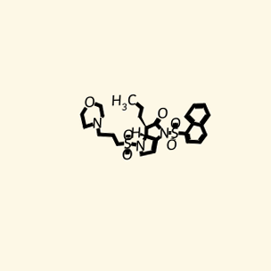 CCC[C@H]1C(=O)N(S(=O)(=O)c2cccc3ccccc23)C2=CCN(S(=O)(=O)CCCN3CCOCC3)[C@@H]21